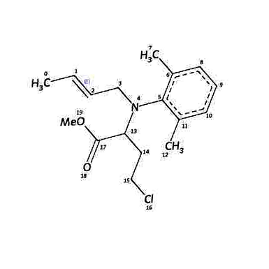 C/C=C/CN(c1c(C)cccc1C)C(CCCl)C(=O)OC